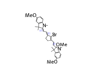 COc1ccc2c(c1)C(C)(C)/C(=C/C=C1\CCC(/C=C/C3(OC)N(C)c4ccc(OC)cc4C3(C)C)=C1Br)N2C